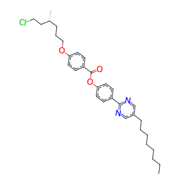 CCCCCCCCc1cnc(-c2ccc(OC(=O)c3ccc(OCCC[C@@H](C)CCCl)cc3)cc2)nc1